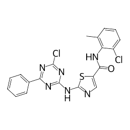 Cc1cccc(Cl)c1NC(=O)c1cnc(Nc2nc(Cl)nc(-c3ccccc3)n2)s1